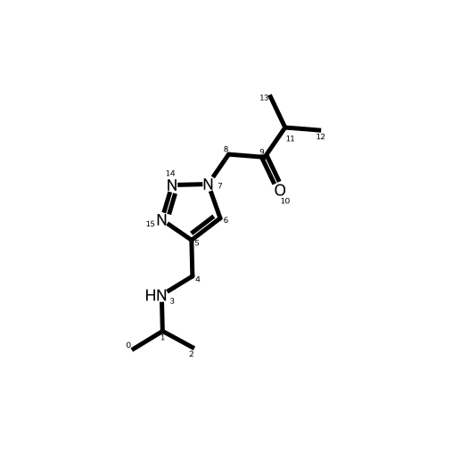 CC(C)NCc1cn(CC(=O)C(C)C)nn1